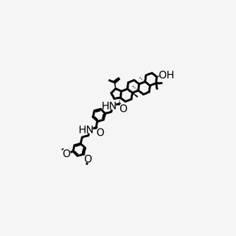 C=C(C)[C@@H]1CC[C@]2(C(=O)NCc3cccc(C(=O)NCCc4cc(OC)cc(OC)c4)c3)CC[C@]3(C)C(CCC4[C@@]5(C)CC[C@H](O)C(C)(C)C5CC[C@]43C)C12